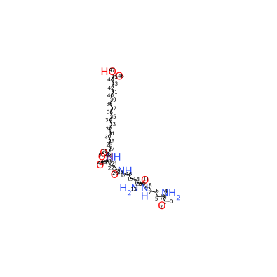 CC(=O)[C@@H](N)CCCCNC(=O)[C@@H](N)CCCCNC(=O)CC[C@H](NC(=O)CCCCCCCCCCCCCCCCCCC(=O)O)C(=O)O